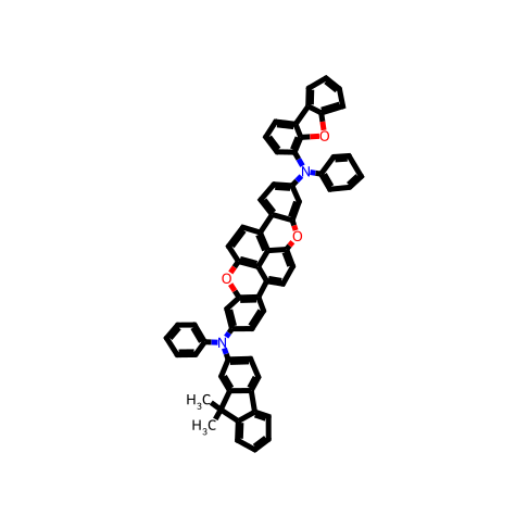 CC1(C)c2ccccc2-c2ccc(N(c3ccccc3)c3ccc4c(c3)Oc3ccc5c6c(ccc-4c36)Oc3cc(N(c4ccccc4)c4cccc6c4oc4ccccc46)ccc3-5)cc21